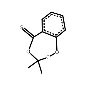 CC1(C)COc2ccccc2C(=S)O1